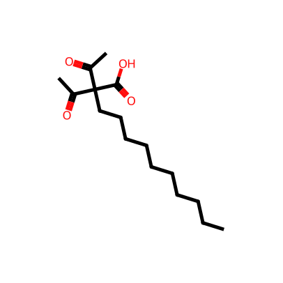 CCCCCCCCCCC(C(C)=O)(C(C)=O)C(=O)O